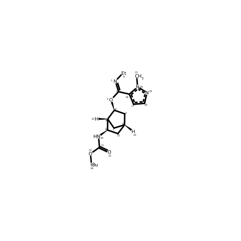 CC/N=C(/O[C@H]1C[C@H]2C[C@@H]1[C@H](NC(=O)OC(C)(C)C)C2)c1ccnn1C